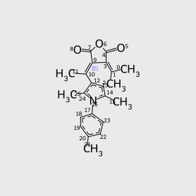 CC(C)=C1C(=O)OC(=O)/C1=C(\C)c1cc(C)n(-c2ccc(C)cc2)c1C